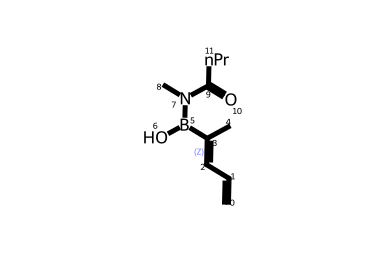 C=C/C=C(\C)B(O)N(C)C(=O)CCC